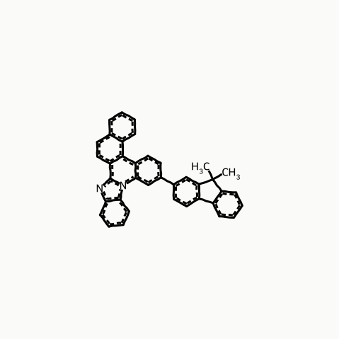 CC1(C)c2ccccc2-c2ccc(-c3ccc4c5c6ccccc6ccc5c5nc6ccccc6n5c4c3)cc21